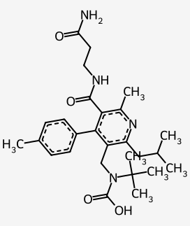 Cc1ccc(-c2c(CN(C(=O)O)C(C)(C)C)c(CC(C)C)nc(C)c2C(=O)NCCC(N)=O)cc1